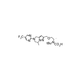 CC1CN(c2ncc(C(F)(F)F)cn2)Cc2cc(COC[C@H](C)N(C(=O)O)C(C)(C)C)nn21